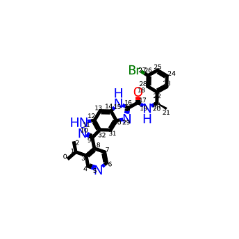 CC(C)c1cnccc1-c1n[nH]c2cc3[nH]c(C(=O)N[C@H](C)c4cccc(Br)c4)nc3cc12